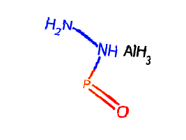 NNP=O.[AlH3]